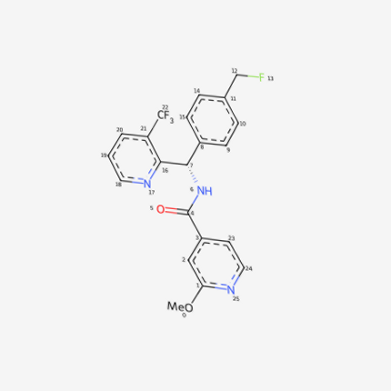 COc1cc(C(=O)N[C@@H](c2ccc(CF)cc2)c2ncccc2C(F)(F)F)ccn1